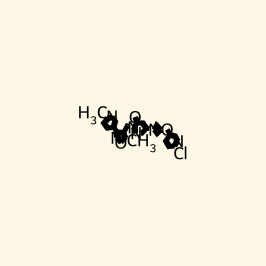 Cc1ccc(-c2noc(C)c2Cn2ncc(N3CC(Oc4ccc(Cl)nc4)C3)cc2=O)cn1